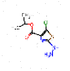 CC(C)OC(=O)c1nc(NN)sc1Cl